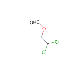 O=[C]OCC(Cl)Cl